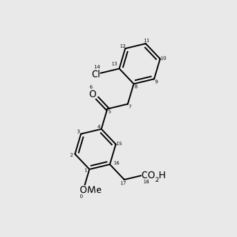 COc1ccc(C(=O)Cc2ccccc2Cl)cc1CC(=O)O